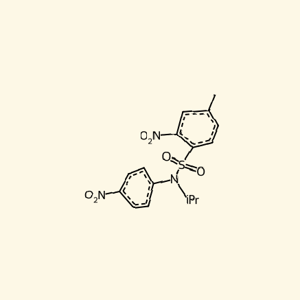 Cc1ccc(S(=O)(=O)N(c2ccc([N+](=O)[O-])cc2)C(C)C)c([N+](=O)[O-])c1